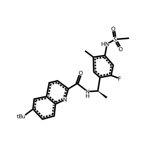 Cc1cc([C@@H](C)NC(=O)c2ccc3cc(C(C)(C)C)ccc3n2)c(F)cc1NS(C)(=O)=O